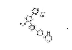 CC(C)(C#N)c1cc(-c2cnc(N)c(-c3cc(-c4ccc([C@H]5COCCN5)cc4)no3)n2)ccn1